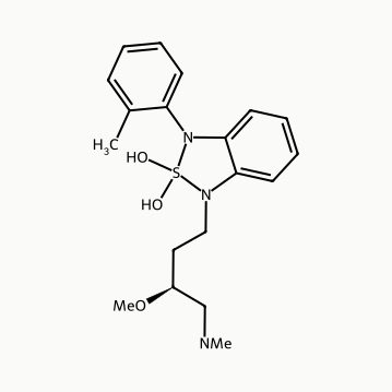 CNC[C@H](CCN1c2ccccc2N(c2ccccc2C)S1(O)O)OC